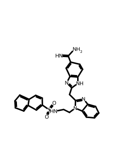 N=C(N)c1ccc2[nH]c(Cc3nc4ccccc4n3CCNS(=O)(=O)c3ccc4ccccc4c3)nc2c1